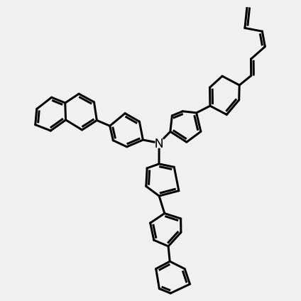 C=C/C=C\C=C\C1C=CC(c2ccc(N(c3ccc(-c4ccc(-c5ccccc5)cc4)cc3)c3ccc(-c4ccc5ccccc5c4)cc3)cc2)=CC1